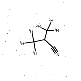 [2H]C([2H])([2H])[C](C#N)C([2H])([2H])[2H]